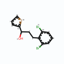 OC(CCc1c(Br)cccc1Br)c1cccs1